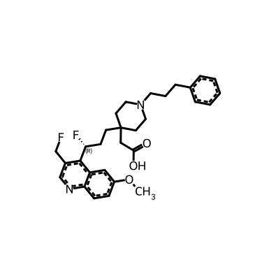 COc1ccc2ncc(CF)c([C@H](F)CCC3(CC(=O)O)CCN(CCCc4ccccc4)CC3)c2c1